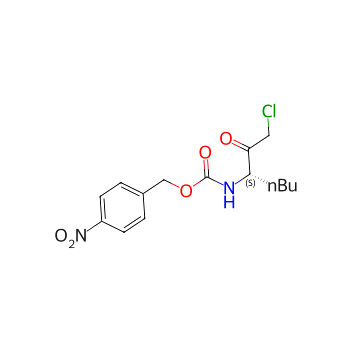 CCCC[C@H](NC(=O)OCc1ccc([N+](=O)[O-])cc1)C(=O)CCl